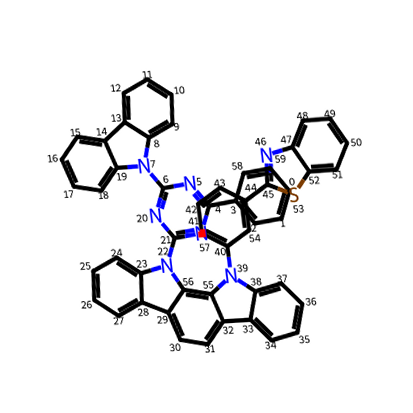 c1ccc(-c2nc(-n3c4ccccc4c4ccccc43)nc(-n3c4ccccc4c4ccc5c6ccccc6n(-c6cccc(-c7nc8ccccc8s7)c6)c5c43)n2)cc1